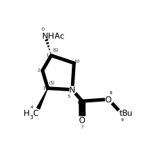 CC(=O)N[C@H]1C[C@H](C)N(C(=O)OC(C)(C)C)C1